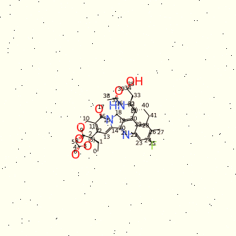 CC[C@@]1(OC(C)=O)C(=O)OCc2c1cc1n(c2=O)Cc2c-1nc1cc(F)c(C)c3c1c2[C@H]([C@H](CCO)NC(C)=O)CC3